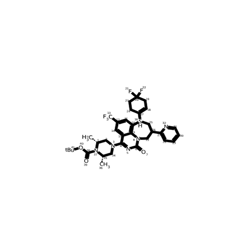 C[C@@H]1CN(c2nc(=O)n3c4c(cc(C(F)(F)F)cc24)[SH](C2=CCC(F)(F)CC2)CC(c2ccccn2)C3)C[C@H](C)N1C(=O)OC(C)(C)C